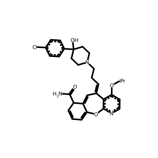 CC(C)Oc1ccnc2c1C(=CCCN1CCC(O)(c3ccc(Cl)cc3)CC1)C=C1C(=CC=CC1C(N)=O)O2